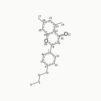 CCCCc1ccc(-c2cc(=O)c3c(C)cc(C)cc3o2)cc1